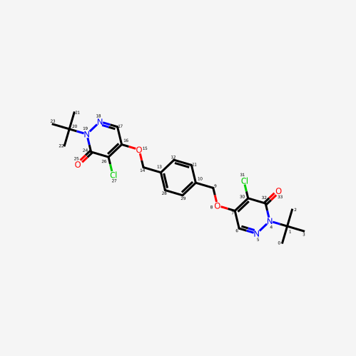 CC(C)(C)n1ncc(OCc2ccc(COc3cnn(C(C)(C)C)c(=O)c3Cl)cc2)c(Cl)c1=O